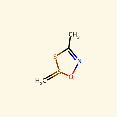 C=S1ON=C(C)S1